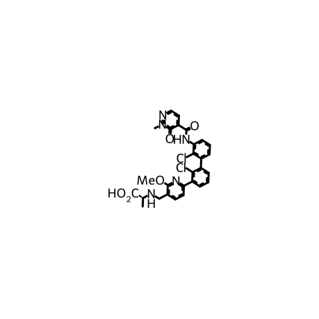 COc1nc(-c2cccc(-c3cccc(NC(=O)c4ccnn(C)c4=O)c3Cl)c2Cl)ccc1CN[C@@H](C)C(=O)O